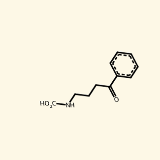 O=C(O)NCCCC(=O)c1ccccc1